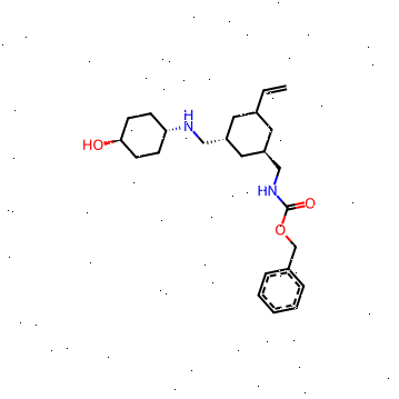 C=CC1C[C@@H](CNC(=O)OCc2ccccc2)C[C@H](CN[C@H]2CC[C@H](O)CC2)C1